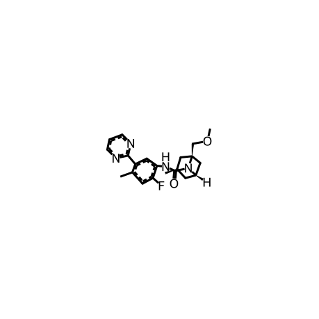 COC[C@@]12C[C@H](C)C[C@@H](C1)N2C(=O)Nc1cc(-c2ncccn2)c(C)cc1F